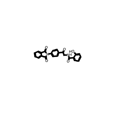 O=C(CNC(=O)c1ccccc1O)c1ccc(N2C(=O)c3ccccc3C2=O)cc1